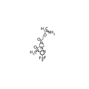 C[C@H](N)COCCC(=O)N1CCN2c3ncc(C(F)(F)F)cc3N(C)C(=O)C2C1